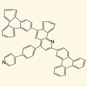 c1ccc2c(c1)c(-c1ccc3c4ccccc4c4ccccc4c3c1)cc1c(-c3ccc(-c4ccncc4)cc3)cc(-c3ccc4c5ccccc5c5ccccc5c4c3)nc12